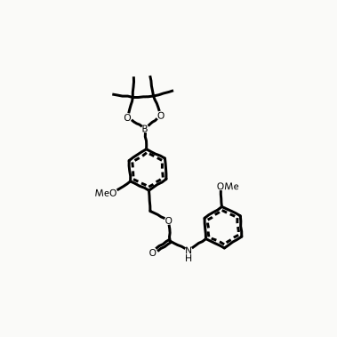 COc1cccc(NC(=O)OCc2ccc(B3OC(C)(C)C(C)(C)O3)cc2OC)c1